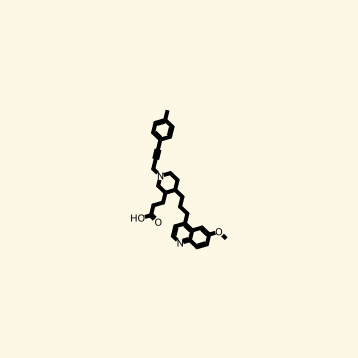 COc1ccc2nccc(CCCC3CCN(CC#Cc4ccc(C)cc4)CC3CCC(=O)O)c2c1